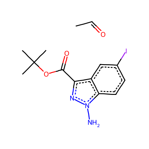 CC(C)(C)OC(=O)c1nn(N)c2ccc(I)cc12.CC=O